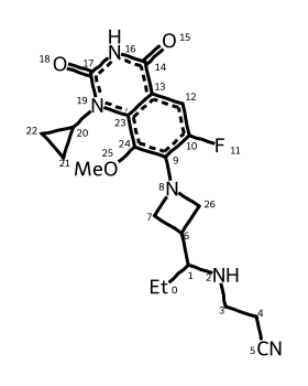 CCC(NCCC#N)C1CN(c2c(F)cc3c(=O)[nH]c(=O)n(C4CC4)c3c2OC)C1